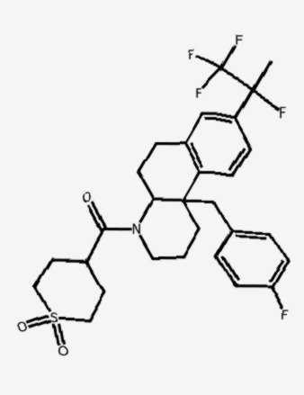 CC(F)(c1ccc2c(c1)CCC1N(C(=O)C3CCS(=O)(=O)CC3)CCCC21Cc1ccc(F)cc1)C(F)(F)F